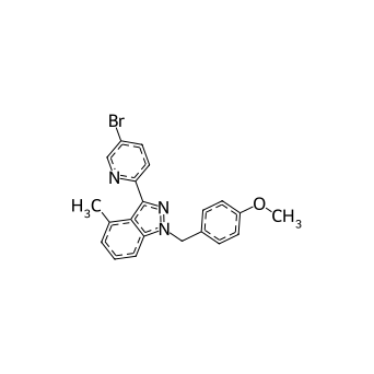 COc1ccc(Cn2nc(-c3ccc(Br)cn3)c3c(C)cccc32)cc1